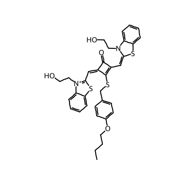 CCCCOc1ccc(CSC2=C(/C=C3/Sc4ccccc4N3CCO)C(=O)/C2=C/c2sc3ccccc3[n+]2CCO)cc1